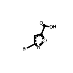 O=C(O)c1cc(Br)no1